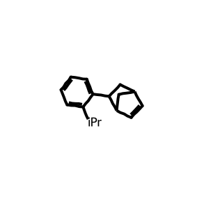 CC(C)c1ccccc1C1CC2C=CC1C2